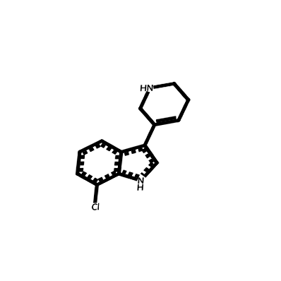 Clc1cccc2c(C3=CCCNC3)c[nH]c12